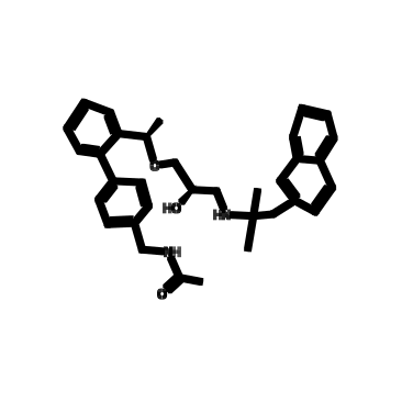 CC(=O)NCc1ccc(-c2ccccc2[C@@H](C)OC[C@H](O)CNC(C)(C)Cc2ccc3ccccc3c2)cc1